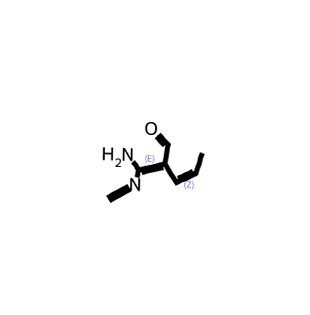 C=N/C(N)=C(C=O)\C=C/C